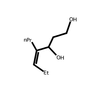 CCC=C(CCC)C(O)CCO